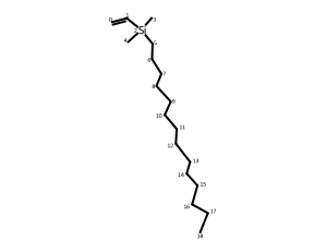 C=C[Si](C)(C)CCCCCCCCCCCCCC